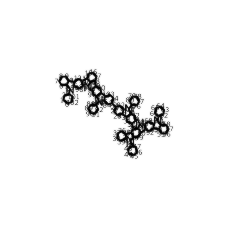 c1ccc(-n2c3ccccc3c3cc4c5cccc6c7cc8c9ccc(-c%10ccc%11c%12cc%13c%14c%15c%16ccccc%16n(-c%16ccccc%16)c%15cc%15c%16cc%17c%18ccccc%18n(-c%18ccccc%18)c%17cc%16n(c%13cc%12n(-c%12ccccc%12)c%11c%10)c%15%14)cc9n(-c9ccccc9)c8cc7n(c4cc32)c56)cc1